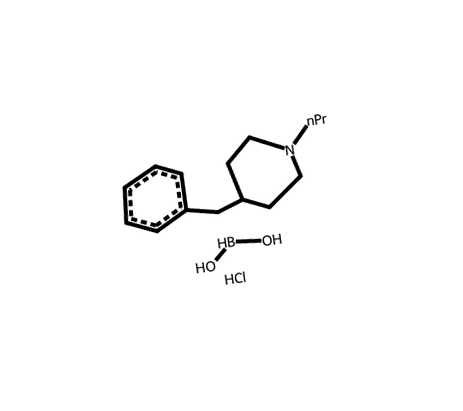 CCCN1CCC(Cc2ccccc2)CC1.Cl.OBO